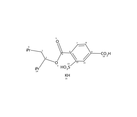 CC(C)CC(OC(=O)c1ccc(C(=O)O)cc1S(=O)(=O)O)C(C)C.[KH]